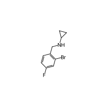 Fc1ccc(CNC2CC2)c(Br)c1